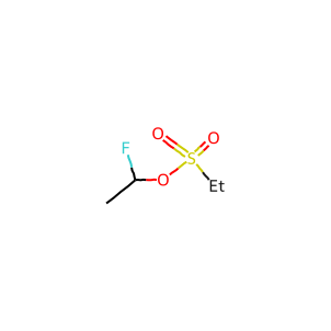 CCS(=O)(=O)OC(C)F